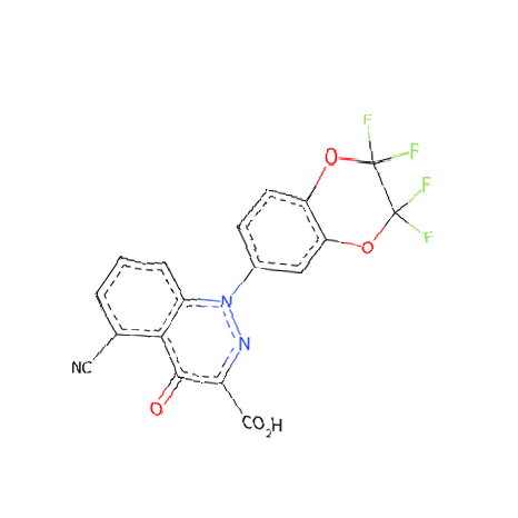 N#Cc1cccc2c1c(=O)c(C(=O)O)nn2-c1ccc2c(c1)OC(F)(F)C(F)(F)O2